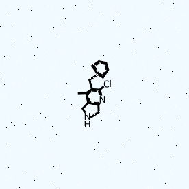 Cc1c(Cc2ccccc2)c(Cl)nc2c1CNCC2